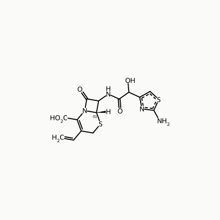 C=CC1=C(C(=O)O)N2C(=O)C(NC(=O)C(O)c3csc(N)n3)[C@@H]2SC1